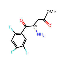 COC(=O)C[C@H](N)C(=O)c1cc(F)c(F)cc1F